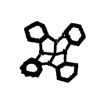 [O-][S+]1c2ccccc2N(c2ccccc2)C12N(c1ccccc1)c1ccccc1N2c1ccccc1